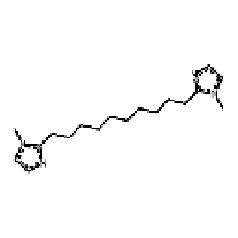 Cn1ccnc1CCCCCCCCCCc1nccn1C